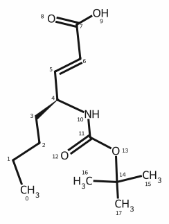 CCCC[C@@H](/C=C/C(=O)O)NC(=O)OC(C)(C)C